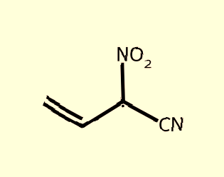 C=C[C](C#N)[N+](=O)[O-]